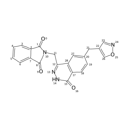 O=C1c2ccccc2C(=O)N1Cc1n[nH]c(=O)c2ccc(Cc3cnoc3)cc12